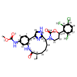 COC(=O)Nc1ccc2c(c1)NC(=O)[C@H](C)CCC[C@H](N1CCC(c3c(F)ccc(Cl)c3F)OC1=O)c1nc-2c[nH]1